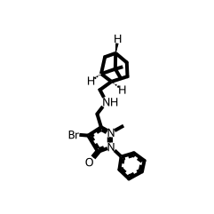 Cn1c(CNC[C@@H]2CC[C@H]3C[C@H]2C3(C)C)c(Br)c(=O)n1-c1ccccc1